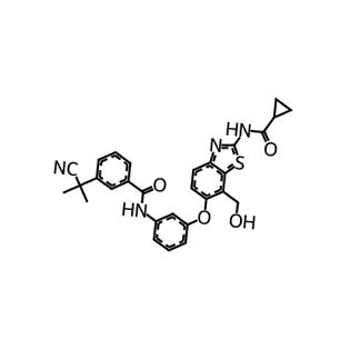 CC(C)(C#N)c1cccc(C(=O)Nc2cccc(Oc3ccc4nc(NC(=O)C5CC5)sc4c3CO)c2)c1